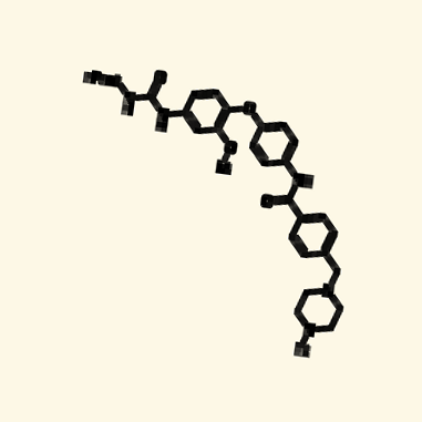 CCCCCNC(=O)Nc1ccc(Oc2ccc(NC(=O)c3ccc(CN4CCN(CC)CC4)cc3)cc2)c(OCC)c1